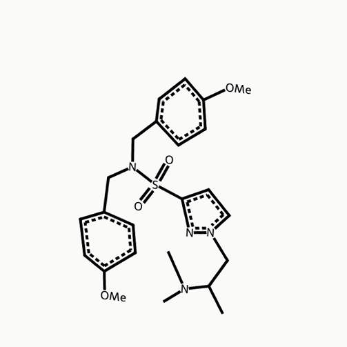 COc1ccc(CN(Cc2ccc(OC)cc2)S(=O)(=O)c2ccn(CC(C)N(C)C)n2)cc1